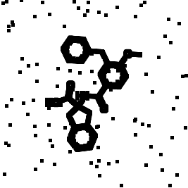 COc1ccc(C(=O)NC2(C(=O)O)Cc3ccccc3C2)cc1Cc1ccccc1